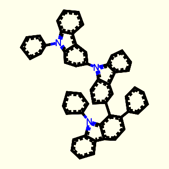 c1ccc(-c2ccc3c4ccccc4n(-c4ccccc4)c3c2-c2ccc3c(c2)c2ccccc2n3-c2ccc3c(c2)c2ccccc2n3-c2ccccc2)cc1